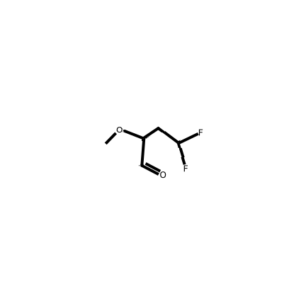 COC([C]=O)CC(F)F